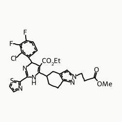 CCOC(=O)C1=C(C2CCc3nn(CCC(=O)OC)cc3C2)NC(c2nccs2)=NC1c1ccc(F)c(F)c1Cl